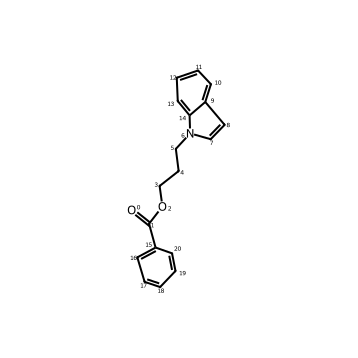 O=C(OCCCn1ccc2ccccc21)c1ccccc1